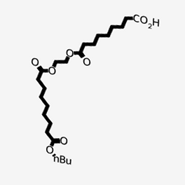 CCCCOC(=O)CCCCCCCC(=O)OCCOC(=O)CCCCCCCC(=O)O